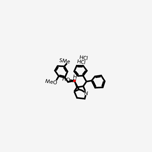 COc1ccc(SC)cc1CNC1C2CCN(CC2CO)C1C(c1ccccc1)c1ccccc1.Cl.Cl